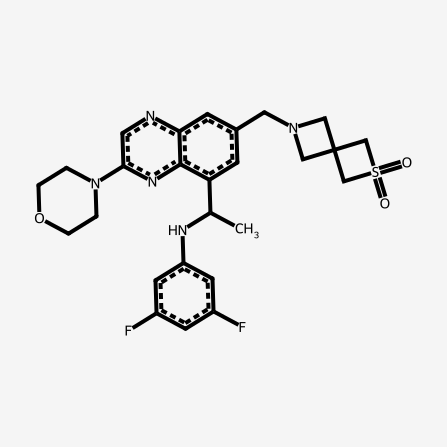 CC(Nc1cc(F)cc(F)c1)c1cc(CN2CC3(C2)CS(=O)(=O)C3)cc2ncc(N3CCOCC3)nc12